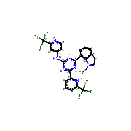 CN1CCc2cccc(-c3nc(Nc4ccnc(C(F)(F)F)c4)nc(-c4cccc(C(F)(F)F)n4)n3)c21